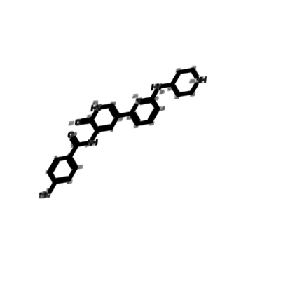 CC(C)(C)c1ccc(C(=O)Nc2cc(-c3cccc(NC4CCNCC4)n3)c[nH]c2=O)cc1